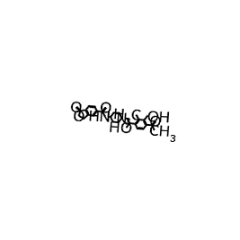 CC(=O)c1ccc(C(O)CN2CCC(NC(=O)c3ccc4c(c3)COC4=O)CC2)c(C)c1CO